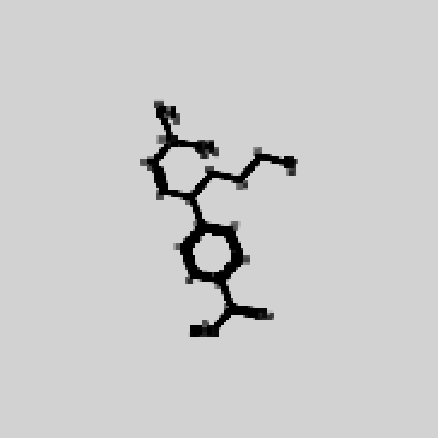 COC(=O)c1ccc(C(/C=N\N(C)C)CCCBr)cc1